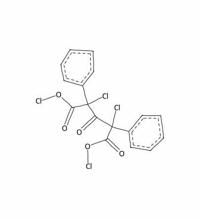 O=C(OCl)C(Cl)(C(=O)C(Cl)(C(=O)OCl)c1ccccc1)c1ccccc1